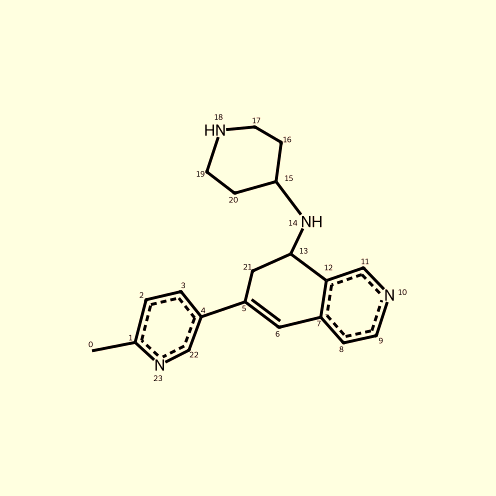 Cc1ccc(C2=Cc3ccncc3C(NC3CCNCC3)C2)cn1